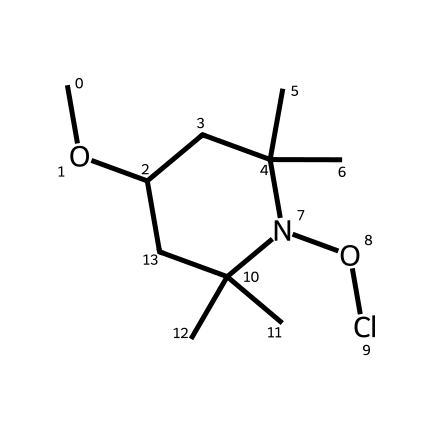 COC1CC(C)(C)N(OCl)C(C)(C)C1